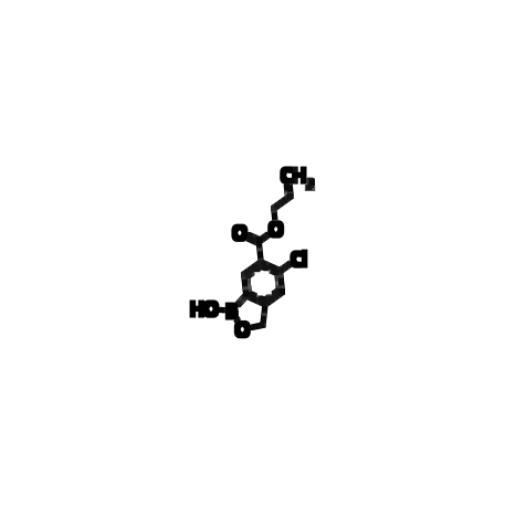 C=CCOC(=O)c1cc2c(cc1Cl)COB2O